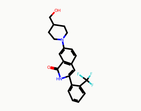 O=c1[nH]c(-c2ccccc2C(F)(F)F)cc2ccc(N3CCC(CO)CC3)cc12